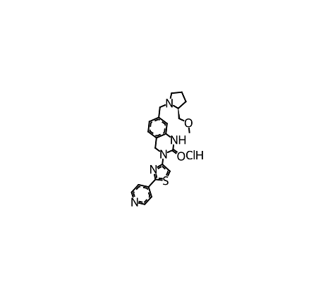 COC[C@@H]1CCCN1Cc1ccc2c(c1)NC(=O)N(c1csc(-c3ccncc3)n1)C2.Cl